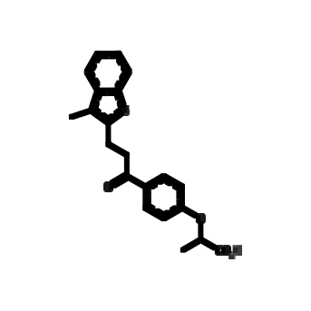 Cc1c(CCC(=O)c2ccc(OC(C)C(=O)O)cc2)sc2ccccc12